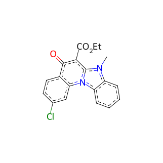 CCOC(=O)c1c(=O)c2ccc(Cl)cc2n2c3ccccc3n(C)c12